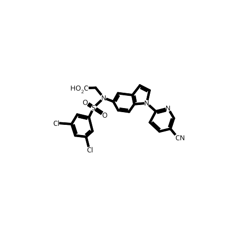 N#Cc1ccc(-n2ccc3cc(N(CC(=O)O)S(=O)(=O)c4cc(Cl)cc(Cl)c4)ccc32)nc1